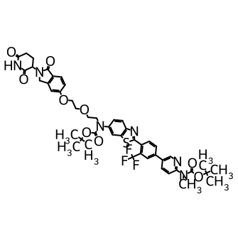 CN(C(=O)OC(C)(C)C)c1ccc(-c2ccc(-c3nc4ccc(N(CCOCCOc5ccc6c(c5)CN(C5CCC(=O)NC5=O)C6=O)C(=O)OC(C)(C)C)cc4s3)c(C(F)(F)F)c2)cn1